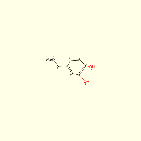 COCc1c[c]c(O)c(O)c1